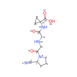 N#CC1CCCN1C(=O)CNCC(=O)NC1(C(=O)O)CC1